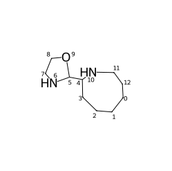 C1CCCC(C2NCCO2)NCC1